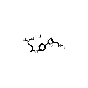 CCN(CC)CCC(C)Oc1ccc(-c2ncc(CN)s2)cc1.Cl